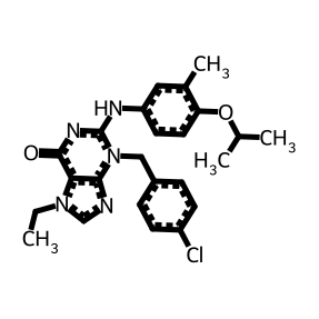 CCn1cnc2c1c(=O)nc(Nc1ccc(OC(C)C)c(C)c1)n2Cc1ccc(Cl)cc1